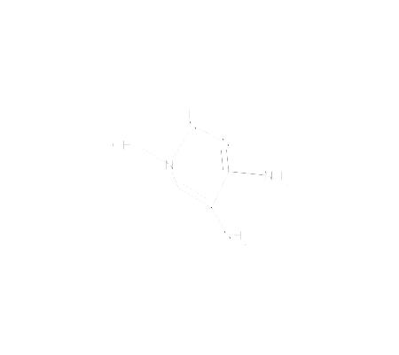 NC1=CN([C]=O)NN=C1N